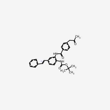 CC(=O)Cc1ccc(C(=O)Nc2cc(/C=C/c3ccccc3)ccc2NC(=O)OC(C)(C)C)cc1